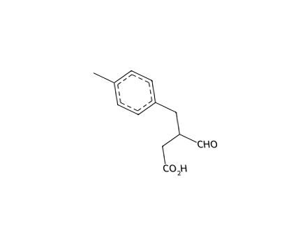 Cc1ccc(CC(C=O)CC(=O)O)cc1